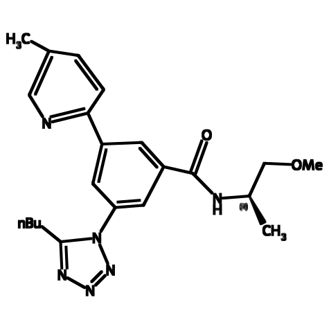 CCCCc1nnnn1-c1cc(C(=O)N[C@H](C)COC)cc(-c2ccc(C)cn2)c1